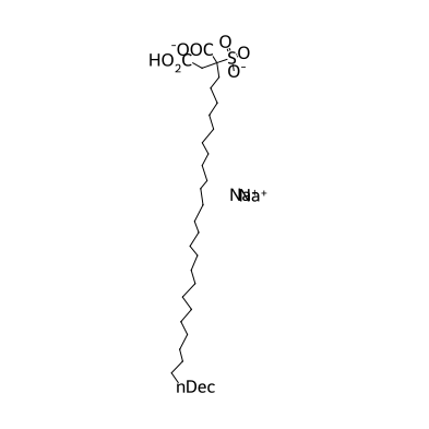 CCCCCCCCCCCCCCCCCCCCCCCCCCCCCCCCCCC(CC(=O)O)(C(=O)[O-])S(=O)(=O)[O-].[Na+].[Na+]